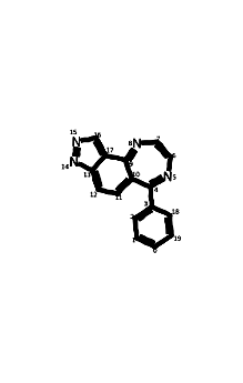 c1ccc(-c2nccnc3c2ccc2nncc23)cc1